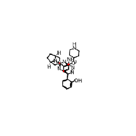 Nc1nnc(-c2ccccc2O)cc1N1C[C@H]2CC[C@@H](C1)N2c1nccc(OC2CCNCC2)n1